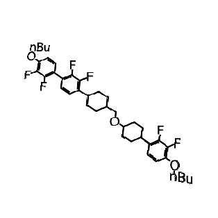 CCCCOc1ccc(-c2ccc(C3CCC(COC4CCC(c5ccc(OCCCC)c(F)c5F)CC4)CC3)c(F)c2F)c(F)c1F